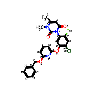 Cn1c(C(F)(F)F)cc(=O)n(-c2cc(Oc3cccc(OCc4ccccc4)n3)c(Cl)cc2F)c1=O